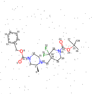 C[C@H]1CN(C(=O)OCc2ccccc2)CCN1CC1CCN(C(=O)OC(C)(C)C)CC1(F)F